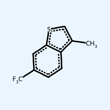 Cc1csc2cc(C(F)(F)F)ccc12